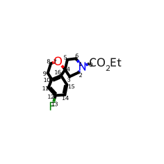 CCOC(=O)N1CCC2(CC1)OCCc1cc(F)ccc12